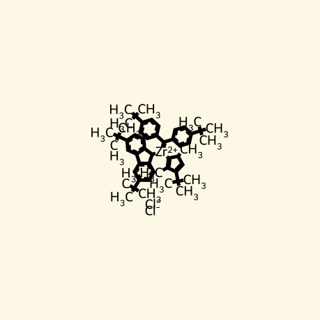 CC1=[C]([Zr+2](=[C](c2ccc(C(C)(C)C)cc2)c2ccc(C(C)(C)C)cc2)[CH]2c3ccc(C(C)(C)C)cc3-c3cc(C(C)(C)C)ccc32)C(C)C=C1C(C)(C)C.[Cl-].[Cl-]